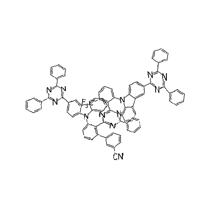 N#Cc1cccc(-c2cccc(-n3c4ccccc4c4cc(-c5nc(-c6ccccc6)nc(-c6ccccc6)n5)ccc43)c2-c2nc(-c3ccccc3)nc(-c3c(-n4c5ccccc5c5cc(-c6nc(-c7ccccc7)nc(-c7ccccc7)n6)ccc54)cccc3C(F)(F)F)n2)c1